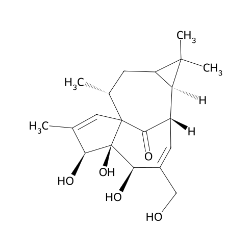 CC1=CC23C(=O)[C@@H](C=C(CO)[C@@H](O)[C@]2(O)[C@H]1O)[C@H]1C(C[C@H]3C)C1(C)C